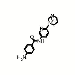 Nc1ccc(C(=O)Nc2ccc(N3CCN4CCC3CC4)nc2)cc1